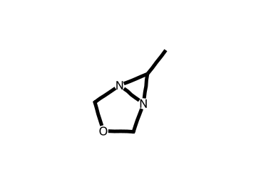 CC1N2COCN12